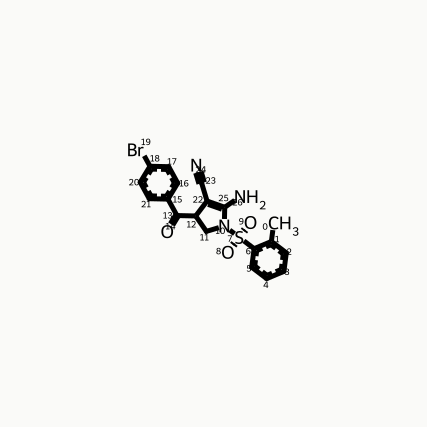 Cc1ccccc1S(=O)(=O)N1CC(C(=O)c2ccc(Br)cc2)C(C#N)=C1N